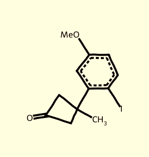 COc1ccc(I)c(C2(C)CC(=O)C2)c1